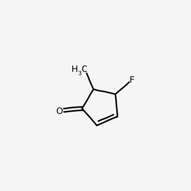 CC1C(=O)C=CC1F